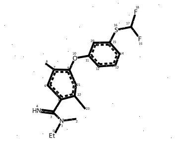 CCN(C)C(=N)c1cc(C)c(Oc2cccc(SC(F)F)c2)cc1C